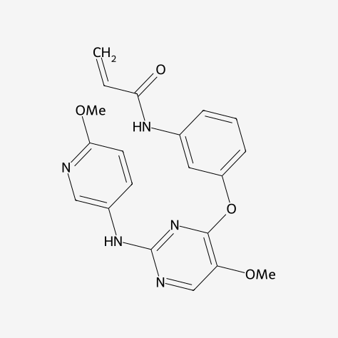 C=CC(=O)Nc1cccc(Oc2nc(Nc3ccc(OC)nc3)ncc2OC)c1